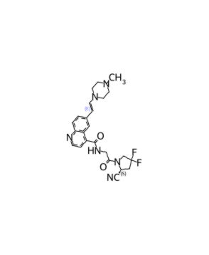 CN1CCN(/C=C/c2ccc3nccc(C(=O)NCC(=O)N4CC(F)(F)C[C@H]4C#N)c3c2)CC1